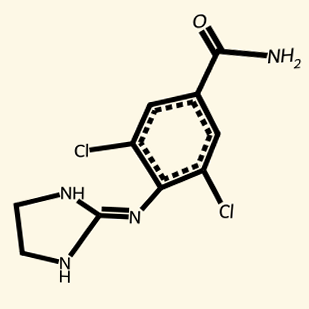 NC(=O)c1cc(Cl)c(N=C2NCCN2)c(Cl)c1